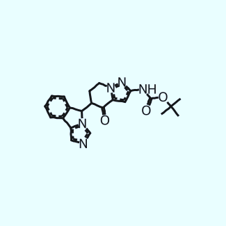 CC(C)(C)OC(=O)Nc1cc2n(n1)CCC(C1c3ccccc3-c3cncn31)C2=O